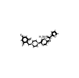 N[N+]12C=C(N3CCN(Cc4c(F)cc(F)cc4F)CC3)N=CC1=NC(c1ccco1)=N2